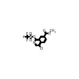 COC(=O)c1ccc2c(Cl)cnc(OS(=O)(=O)C(F)(F)F)c2c1